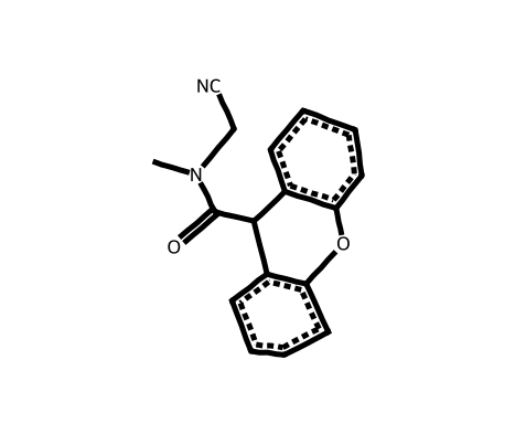 CN(CC#N)C(=O)C1c2ccccc2Oc2ccccc21